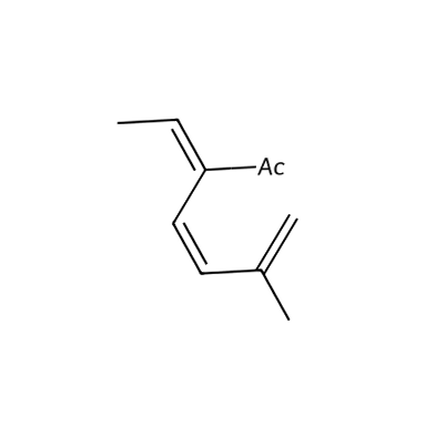 C=C(C)/C=C\C(=C/C)C(C)=O